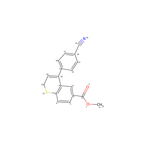 COC(=O)c1ccc2c(c1)C(c1ccc(C#N)cc1)=CCS2